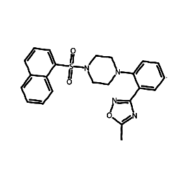 Cc1nc(-c2c[c]ccc2N2CCN(S(=O)(=O)c3cccc4ccccc34)CC2)no1